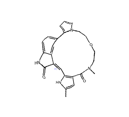 Cc1cc2c([nH]1)/C=C1\C(=O)Nc3ccc(cc31)-c1ccnn1CCOCCN(C)C2=O